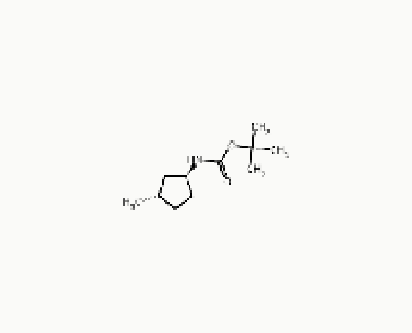 C[C@H]1CC[C@H](NC(=O)OC(C)(C)C)C1